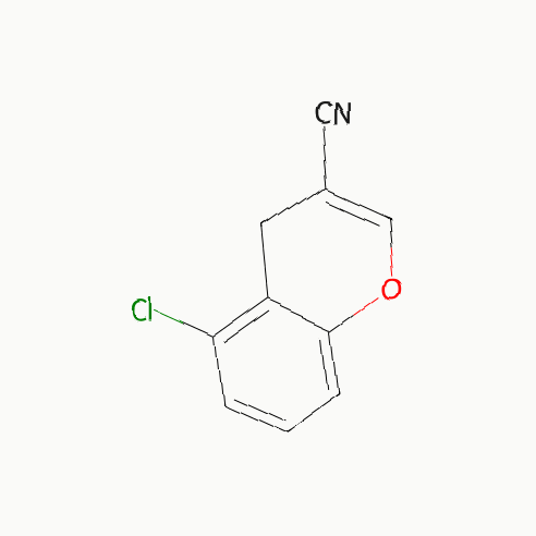 N#CC1=COc2cccc(Cl)c2C1